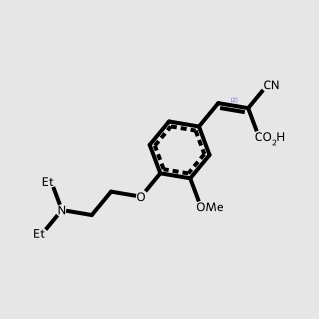 CCN(CC)CCOc1ccc(/C=C(/C#N)C(=O)O)cc1OC